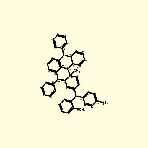 Cc1ccccc1N(C1=CC2N(c3ccccc3)c3cccc4c3B(C3C=CC=CC3N4c3ccccc3)C2(C)C=C1)c1ccc(C(C)(C)C)cc1